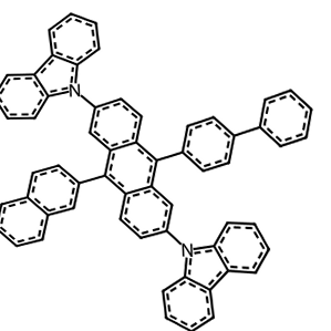 c1ccc(-c2ccc(-c3c4ccc(-n5c6ccccc6c6ccccc65)cc4c(-c4ccc5ccccc5c4)c4ccc(-n5c6ccccc6c6ccccc65)cc34)cc2)cc1